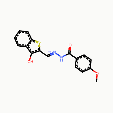 COc1ccc(C(=O)N/N=C/c2sc3ccccc3c2O)cc1